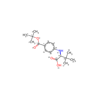 CC(C)(C)OC(=O)c1ccc(N[C@H](C(=O)O)C(C)(C)C)cc1